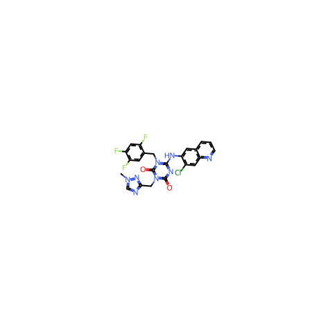 Cn1cnc(Cn2c(=O)nc(Nc3cc4cccnc4cc3Cl)n(Cc3cc(F)c(F)cc3F)c2=O)n1